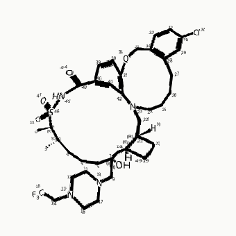 C[C@@H]1[C@@H](C)CCC[C@](O)(CN2CCN(CC(F)(F)F)CC2)[C@@H]2CC[C@H]2CN2CCCCc3cc(Cl)ccc3COc3ccc(cc32)C(=O)NS1(=O)=O